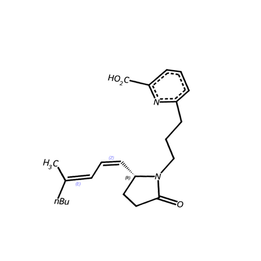 CCCC/C(C)=C/C=C\[C@H]1CCC(=O)N1CCCc1cccc(C(=O)O)n1